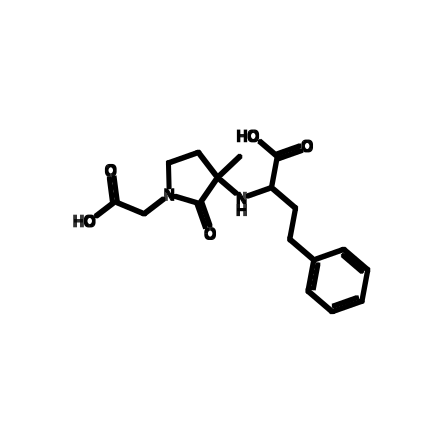 CC1(NC(CCc2ccccc2)C(=O)O)CCN(CC(=O)O)C1=O